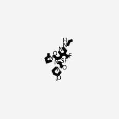 CCCNc1cc(C(F)F)c(-c2sc(C(=O)N3CCCC(OC)C3)nc2C(=O)N2CCCC2C)cn1